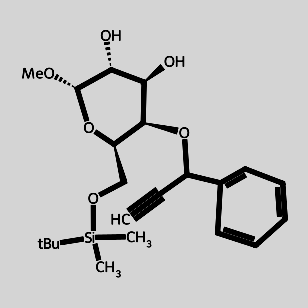 C#CC(O[C@@H]1[C@H](O)[C@@H](O)[C@@H](OC)O[C@@H]1CO[Si](C)(C)C(C)(C)C)c1ccccc1